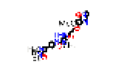 CCN(CC)C(=O)c1cc(-c2ccc(NC(=O)c3cc(NC(=O)CCCOc4cc5c(cc4OC)C(=O)N4CCCC4C=N5)cn3C)cc2)cn1C